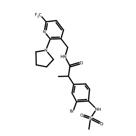 CC(C(=O)NCc1ccc(C(F)(F)F)nc1N1CCCC1)c1ccc(NS(C)(=O)=O)c(Br)c1